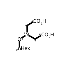 CCCCCCON(CC(=O)O)CC(=O)O